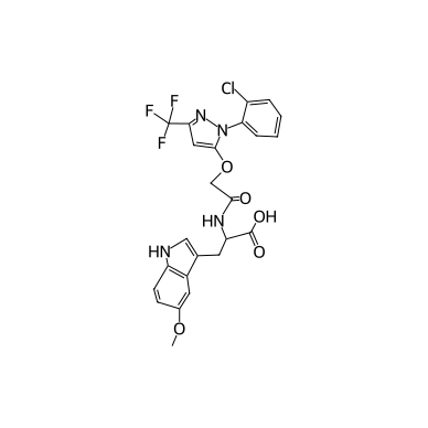 COc1ccc2[nH]cc(CC(NC(=O)COc3cc(C(F)(F)F)nn3-c3ccccc3Cl)C(=O)O)c2c1